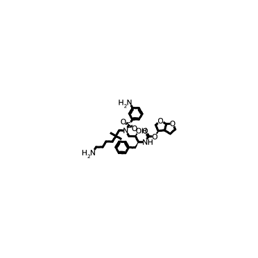 CC(C)(CCCCN)CN(C[C@@H](O)[C@H](Cc1ccccc1)NC(=O)O[C@H]1COC2OCCC21)S(=O)(=O)c1cccc(N)c1